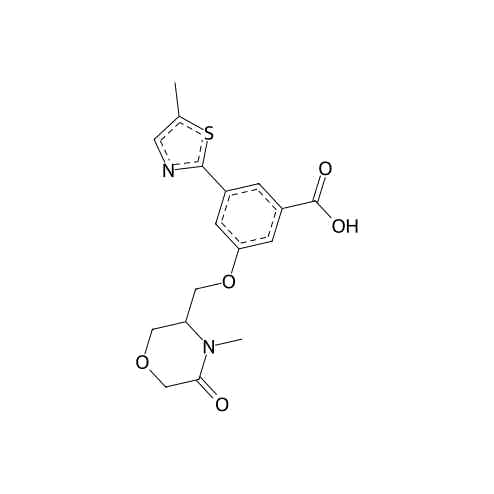 Cc1cnc(-c2cc(OCC3COCC(=O)N3C)cc(C(=O)O)c2)s1